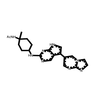 CC(=O)NC1(C)CCC(Nc2ncc3c(-c4cnc5nccn5c4)c[nH]c3n2)CC1